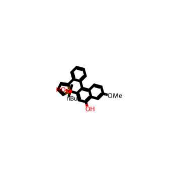 CCCCC(C)(O)c1cc(O)c2cc(OC)ccc2c1-c1ccccc1-c1cccs1